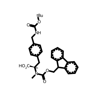 CN(C(=O)OCC1c2ccccc2-c2ccccc21)[C@H](Cc1ccc(CNC(=O)OC(C)(C)C)cc1)C(=O)O